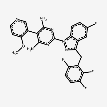 COc1ccncc1-c1c(N)nc(-n2nc(Cc3c(F)ccc(F)c3F)c3cc(F)ccc32)nc1N